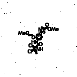 COCCOC1CN(c2ncc(C(=O)OC)s2)CCC1NC(=O)c1[nH]c(C)c(Cl)c1Cl